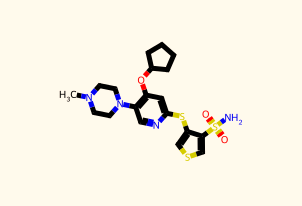 CN1CCN(c2cnc(Sc3cscc3S(N)(=O)=O)cc2OC2CCCC2)CC1